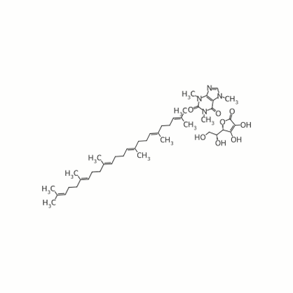 CC(C)=CCC/C(C)=C/CC/C(C)=C/CC/C=C(\C)CC/C=C(\C)CCC=C(C)C.Cn1c(=O)c2c(ncn2C)n(C)c1=O.O=C1O[C@H]([C@@H](O)CO)C(O)=C1O